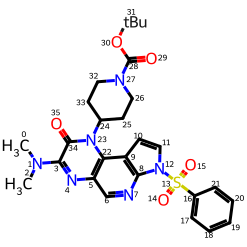 CN(C)c1nc2cnc3c(ccn3S(=O)(=O)c3ccccc3)c2n(C2CCN(C(=O)OC(C)(C)C)CC2)c1=O